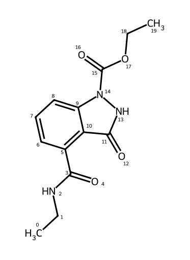 CCNC(=O)c1cccc2c1c(=O)[nH]n2C(=O)OCC